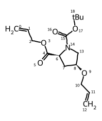 C=CCOC(=O)[C@@H]1C[C@H](OCC=C)CN1C(=O)OC(C)(C)C